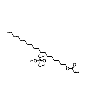 C=CC(=O)OCCCCCCCCCCCCCCCCCC.O=P(O)(O)O